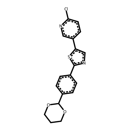 Clc1ccc(-c2cnc(-c3ccc(C4OCCCO4)cc3)s2)cn1